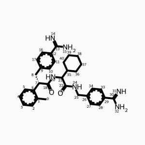 Cc1ccccc1[C@H](Cc1ccc(C(=N)N)cc1)C(=O)NC(C(=O)NCc1ccc(C(=N)N)cc1)C1CCCCC1